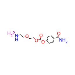 NC(=O)c1ccc(OC(=O)OCCOCCNP)cc1